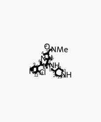 CNC(=O)c1cn2cc(-c3ccncc3Cl)nc(NCC3CCNCC3)c2n1